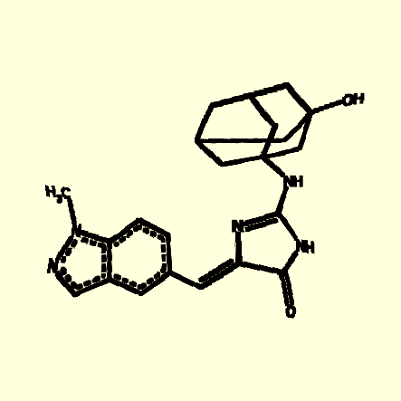 Cn1ncc2cc(/C=C3\N=C(NC45CC6CC(CC(O)(C6)C4)C5)NC3=O)ccc21